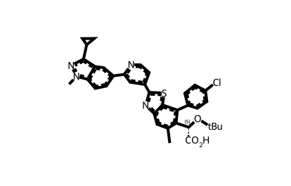 Cc1cc2nc(-c3ccnc(-c4ccc5c(c4)c(C4CC4)nn5C)c3)sc2c(-c2ccc(Cl)cc2)c1[C@H](OC(C)(C)C)C(=O)O